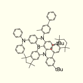 Cc1cc(-c2ccccc2)ccc1N1c2ccc(N(c3ccccc3)c3ccccc3)cc2B2c3cc4c(cc3N(c3ccc(C(C)(C)C)cc3-c3ccc5c(c3)C(C)(C)CCC5(C)C)c3cc(C(C)(C)C)cc1c32)C(C)(C)CC4(C)C